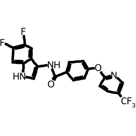 O=C(Nc1c[nH]c2cc(F)c(F)cc12)c1ccc(Oc2ccc(C(F)(F)F)cn2)cc1